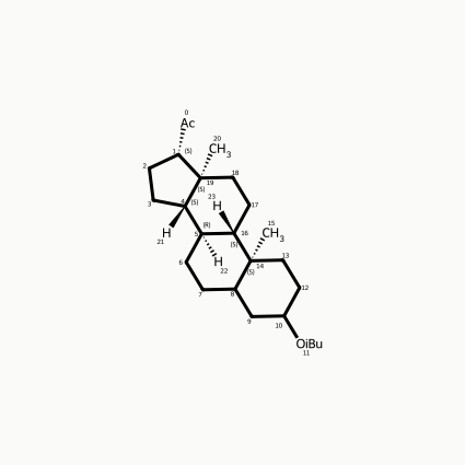 CC(=O)[C@H]1CC[C@H]2[C@@H]3CCC4CC(OCC(C)C)CC[C@]4(C)[C@H]3CC[C@]12C